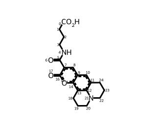 O=C(O)CCCNC(=O)c1cc2cc3c4c(c2oc1=O)CCCN4CCC3